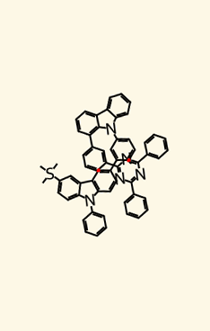 CS(C)(C)c1ccc2c(c1)c1cc(-c3cccc(-n4c5ccccc5c5cccc(-c6cccc(-c7nc(-c8ccccc8)nc(-c8ccccc8)n7)c6)c54)c3)ccc1n2-c1ccccc1